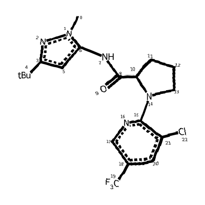 Cn1nc(C(C)(C)C)cc1NC(=O)C1CCCN1c1ncc(C(F)(F)F)cc1Cl